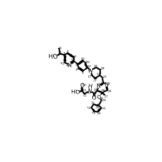 CC(O)c1ccc(-c2ccc(N3CCC(CC4=NC(C(=O)NCC(=O)O)C(C)(OCc5ccccc5)C=N4)CC3)cc2)nc1